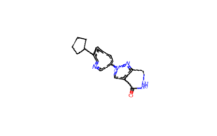 O=C1NCc2nn(-c3ccc(C4CCCC4)nc3)cc21